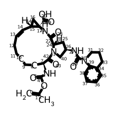 C=C(C)OC(=O)N[C@H]1CCCCC/C=C\[C@@H]2C[C@@]2(C(=O)O)NC(=O)[C@@H]2C[C@@H](NC(=O)N3CCCc4ccccc43)CN2C1=O